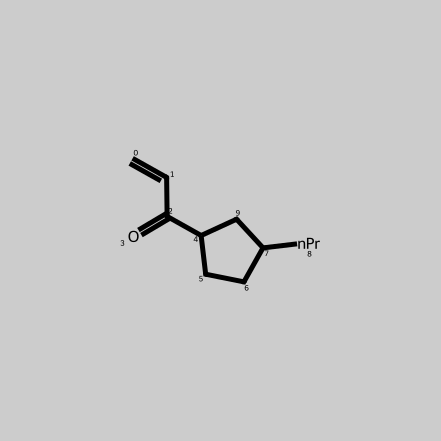 C=CC(=O)C1CCC(CCC)C1